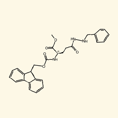 COC(=O)[C@@H](CCC(=O)NNCc1ccccc1)NC(=O)OCC1c2ccccc2-c2ccccc21